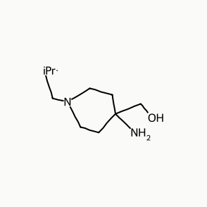 C[C](C)CN1CCC(N)(CO)CC1